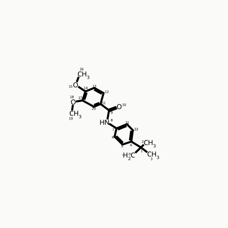 [CH2]C(C)(C)c1ccc(NC(=O)c2ccc(OC)c(OC)c2)cc1